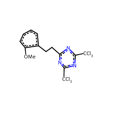 COc1ccccc1CCc1nc(C(Cl)(Cl)Cl)nc(C(Cl)(Cl)Cl)n1